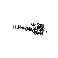 COc1cc(Nc2nc(SC)n3ccnc3c2C(N)=O)cc(OC)c1OCCOCCOCCOCCN